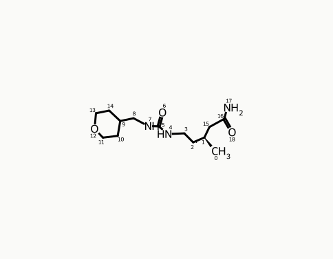 C[C@@H]([CH]CNC(=O)NCC1CCOCC1)CC(N)=O